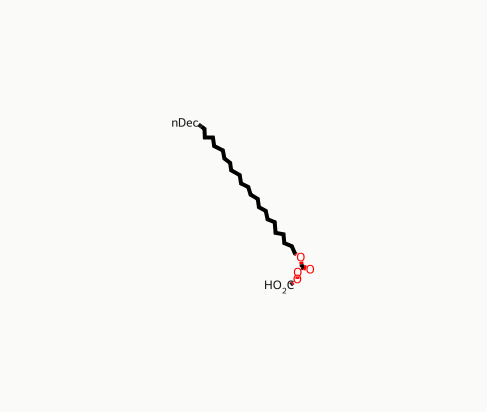 CCCCCCCCCCCCCCCCCCCCCCCCCCCCCCCCOC(=O)OOC(=O)O